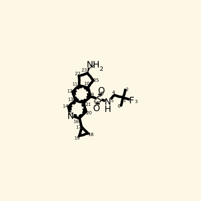 CC(C)(F)CNS(=O)(=O)c1c2c(cc3cnc(C4CC4)cc13)C[C@@H](N)C2